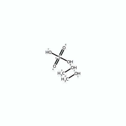 CO.CO.O=S(=O)(O)O